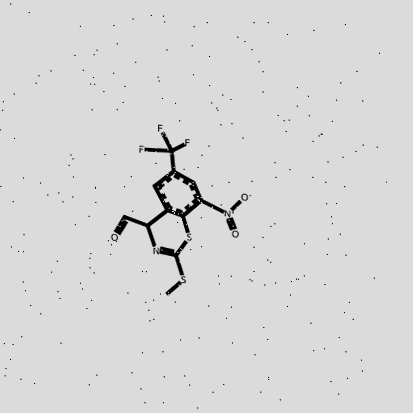 CSC1=NC(C=O)c2cc(C(F)(F)F)cc([N+](=O)[O-])c2S1